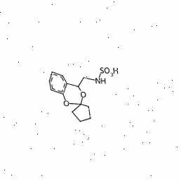 O=S(=O)(O)NCC1OC2(CCCC2)Oc2ccccc21